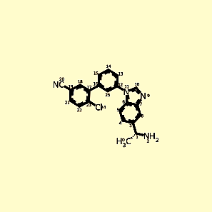 C[C@@H](N)c1ccc2c(c1)ncn2-c1cccc(-c2cc(C#N)ccc2Cl)c1